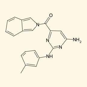 Cc1cccc(Nc2nc(N)cc(C(=O)n3cc4ccccc4c3)n2)c1